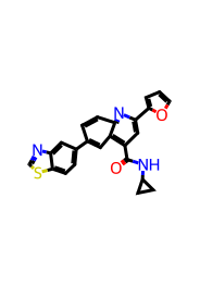 O=C(NC1CC1)c1cc(-c2ccco2)nc2ccc(-c3ccc4scnc4c3)cc12